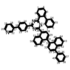 c1ccc(-c2ccccc2-c2nc(-c3ccc(-c4cccnc4)cc3)nc(-c3ccc(-c4ccc(-c5ccccc5)c5ccccc45)c4ccccc34)n2)cc1